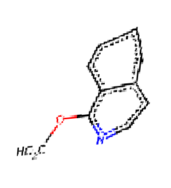 O=C(O)Oc1nccc2ccccc12